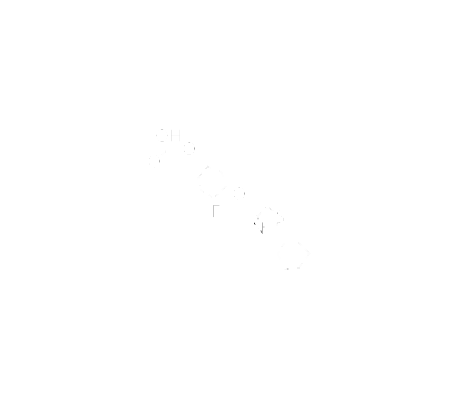 CCOC(Cc1ccc(OCc2csc(-c3ccc(C)cc3)n2)c(F)c1)C(=O)O